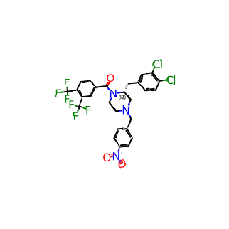 O=C(c1ccc(C(F)(F)F)c(C(F)(F)F)c1)N1CCN(Cc2ccc([N+](=O)[O-])cc2)C[C@H]1Cc1ccc(Cl)c(Cl)c1